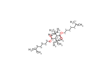 CC(C)CCCCCOC(=O)C(C(C(=O)OCCCCCC(C)C)[Si](C)(C)C)[Si](C)(C)C